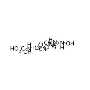 Cc1c(Nc2csc3cc(CNCCO)cnc23)cccc1-c1cccc(OCCCNCC(O)C(=O)O)c1C#N